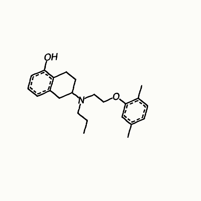 CCCN(CCOc1cc(C)ccc1C)C1CCc2c(O)cccc2C1